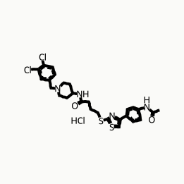 CC(=O)Nc1ccc(-c2csc(SCCCC(=O)NC3CCN(Cc4ccc(Cl)c(Cl)c4)CC3)n2)cc1.Cl